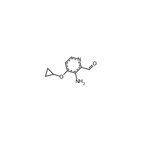 Nc1c(OC2CC2)ccnc1C=O